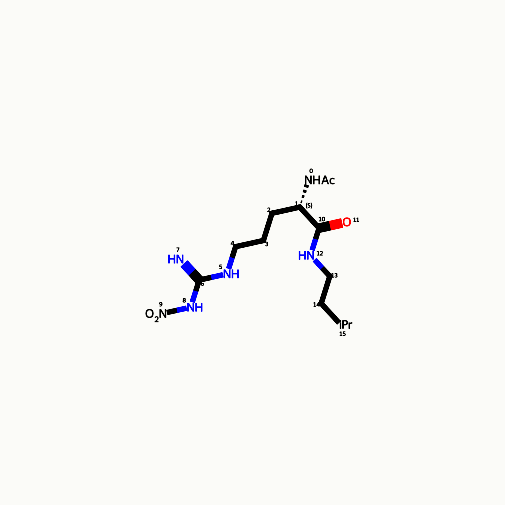 CC(=O)N[C@@H](CCCNC(=N)N[N+](=O)[O-])C(=O)NCCC(C)C